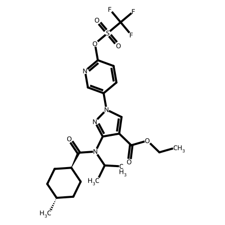 CCOC(=O)c1cn(-c2ccc(OS(=O)(=O)C(F)(F)F)nc2)nc1N(C(=O)[C@H]1CC[C@H](C)CC1)C(C)C